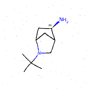 CC(C)(C)N1CC2CC1C[C@H]2N